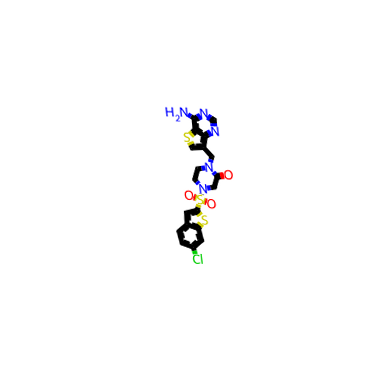 Nc1ncnc2c(CN3CCN(S(=O)(=O)c4cc5ccc(Cl)cc5s4)CC3=O)csc12